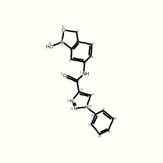 O=C(Nc1ccc2c(c1)B(O)OC2)c1cn(-c2ccccc2)nn1